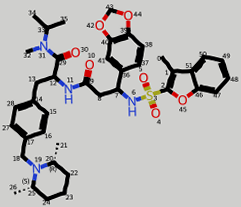 Cc1c(S(=O)(=O)NC(CC(=O)NC(Cc2ccc(CN3[C@H](C)CCC[C@@H]3C)cc2)C(=O)N(C)C(C)C)c2ccc3c(c2)OCO3)oc2ccccc12